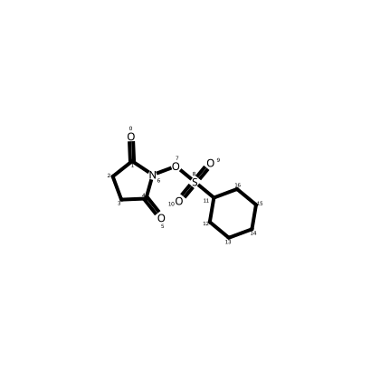 O=C1CCC(=O)N1OS(=O)(=O)C1CCCCC1